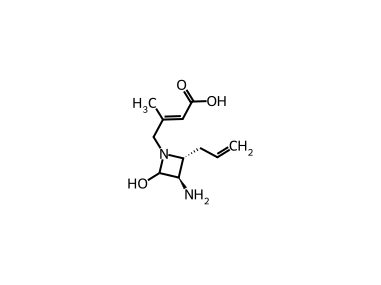 C=CC[C@@H]1[C@@H](N)C(O)N1CC(C)=CC(=O)O